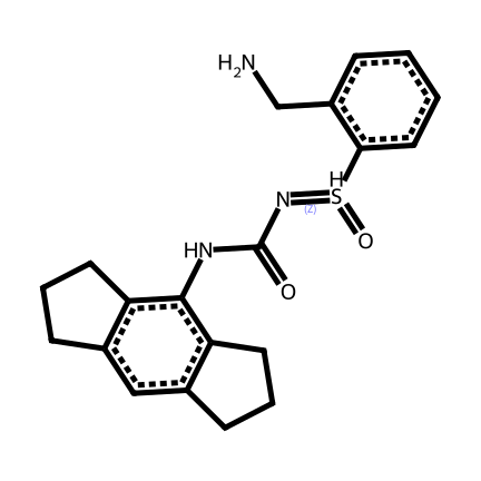 NCc1ccccc1/[SH](=O)=N/C(=O)Nc1c2c(cc3c1CCC3)CCC2